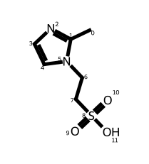 Cc1nccn1CCS(=O)(=O)O